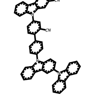 N#Cc1ccc2c3ccccc3n(-c3ccc(-c4ccc(-n5c6ccccc6c6cc(-n7c8ccccc8c8ccccc87)ccc65)cc4)c(C#N)c3)c2c1